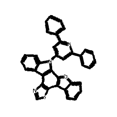 c1ccc(-c2cc(-n3c4ccccc4c4c5ncsc5c5c6ccccc6oc5c43)cc(-c3ccccc3)n2)cc1